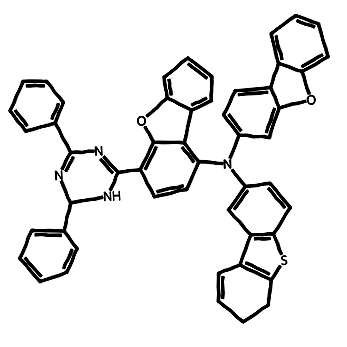 C1=Cc2c(sc3ccc(N(c4ccc5c(c4)oc4ccccc45)c4ccc(C5=NC(c6ccccc6)=NC(c6ccccc6)N5)c5oc6ccccc6c45)cc23)CC1